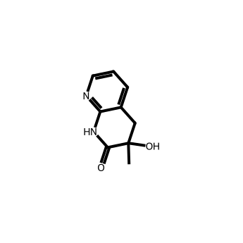 CC1(O)Cc2cccnc2NC1=O